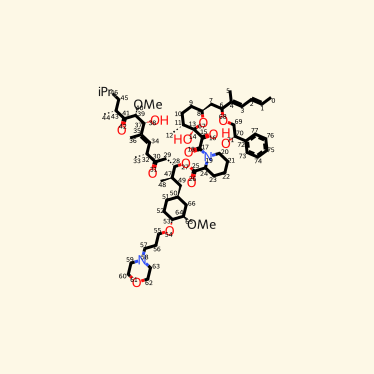 C/C=C/C=C(\C)C(C[C@@H]1CC[C@@H](C)[C@](O)(C(=O)C(=O)N2CCCCC2C(=O)O[C@@H](CC(=O)[C@H](C)/C=C(\C)[C@@H](O)[C@@H](OC)C(=O)[C@H](C)CC(C)C)[C@H](C)C[C@@H]2CC[C@@H](OCCCN3CCOCC3)[C@H](OC)C2)O1)OC[C@@H](O)c1ccccc1